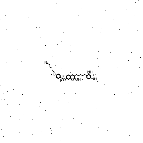 N#CCCCCCOc1ccc(C(F)(F)Oc2ccc(C=C(CCCCCc3ccc(N)cc3N)C(=O)O)cc2)cc1